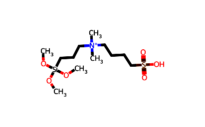 CO[Si](CCC[N+](C)(C)CCCCS(=O)(=O)O)(OC)OC